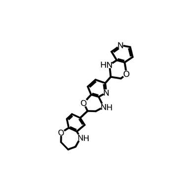 c1cc2c(cn1)NC(c1ccc3c(n1)NCC(c1ccc4c(c1)NCCCO4)O3)CO2